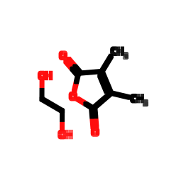 CC1=C(C)C(=O)OC1=O.OCCO